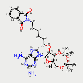 CC(C)[Si]1(C(C)C)OC[C@H]2O[C@@H](n3cnc4c(N)nc(N)nc43)[C@@H](OCCCCCCN3C(=O)c4ccccc4C3=O)C2O[Si](C(C)C)(C(C)C)O1